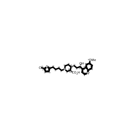 COc1ccc2nccc([C@@H](O)CC[C@@H]3CCN(CCCCc4ccc(Cl)s4)C[C@@H]3C(=O)O)c2c1